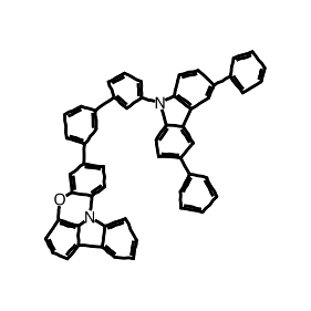 c1ccc(-c2ccc3c(c2)c2cc(-c4ccccc4)ccc2n3-c2cccc(-c3cccc(-c4ccc5c(c4)Oc4cccc6c7ccccc7n-5c46)c3)c2)cc1